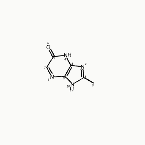 Cc1nc2[nH]c(=O)cnc2[nH]1